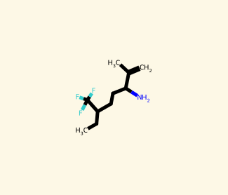 C=C(C)C(N)CCC(CC)C(F)(F)F